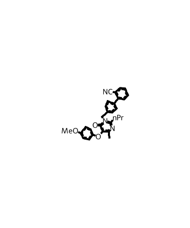 CCCc1nc(C)c(Oc2ccc(OC)cc2)c(=O)n1Cc1ccc(-c2ccccc2C#N)cc1